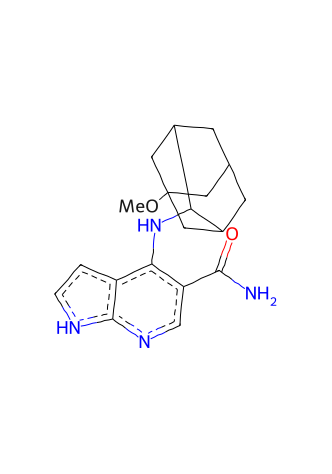 COC12CC3CC(C1)C(Nc1c(C(N)=O)cnc4[nH]ccc14)C(C3)C2